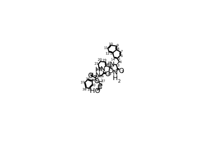 NC(=O)[C@H](Cc1ccc2ccccc2c1)NC(=O)[C@@H]1CCCCN1C(=O)[C@H](CSCO)NS(=O)(=O)c1ccccc1